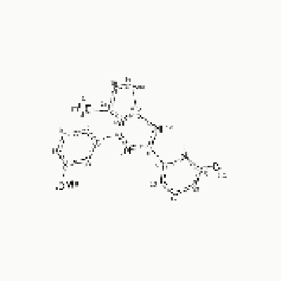 COc1cccc(-c2nc(-c3cccc(C)n3)nc3cccc(C)c23)c1